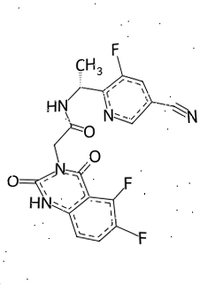 C[C@@H](NC(=O)Cn1c(=O)[nH]c2ccc(F)c(F)c2c1=O)c1ncc(C#N)cc1F